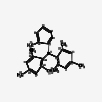 Cc1cc(C)c(B(c2ccccc2C)c2c(C)cc(C)cc2C)c(C)c1